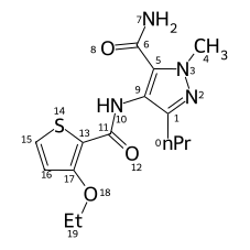 CCCc1nn(C)c(C(N)=O)c1NC(=O)c1sccc1OCC